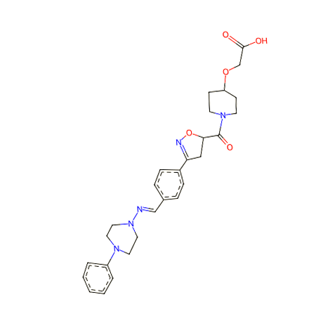 O=C(O)COC1CCN(C(=O)C2CC(c3ccc(/C=N/N4CCN(c5ccccc5)CC4)cc3)=NO2)CC1